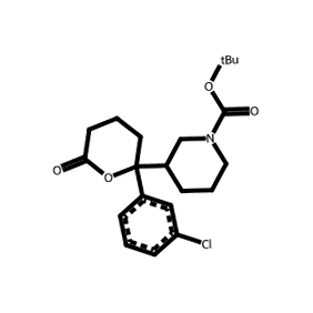 CC(C)(C)OC(=O)N1CCCC(C2(c3cccc(Cl)c3)CCCC(=O)O2)C1